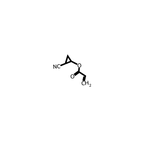 C=CC(=O)OC1CC1C#N